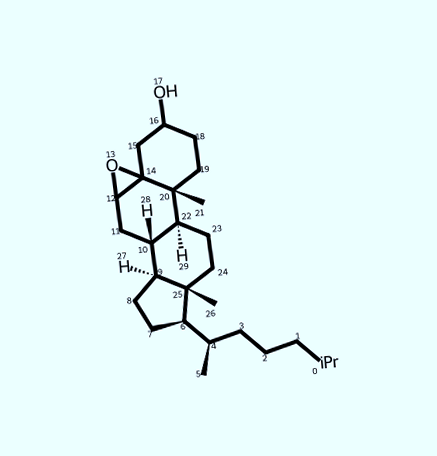 CC(C)CCC[C@@H](C)[C@H]1CC[C@H]2[C@@H]3CC4OC45CC(O)CC[C@]5(C)[C@H]3CC[C@]12C